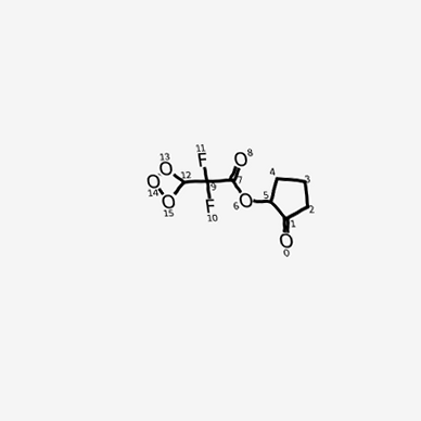 O=C1CCCC1OC(=O)C(F)(F)C1OOO1